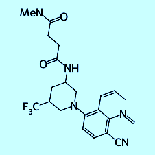 C=Nc1c(C#N)ccc(N2CC(NC(=O)CCC(=O)NC)CC(C(F)(F)F)C2)c1/C=C\C